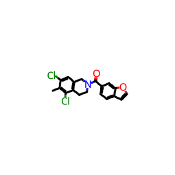 Cc1c(Cl)cc2c(c1Cl)CCN(C(=O)c1ccc3ccoc3c1)C2